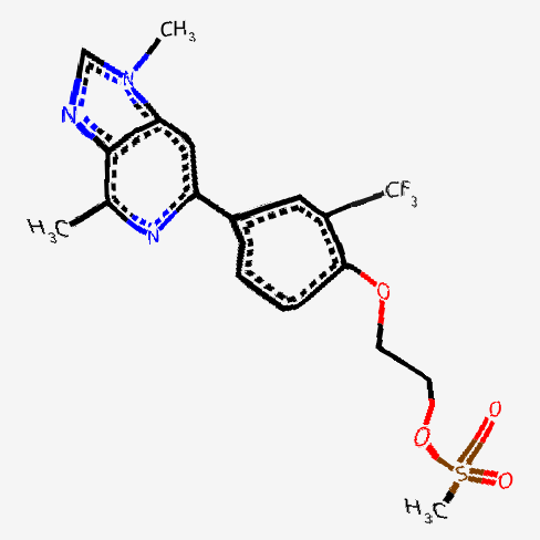 Cc1nc(-c2ccc(OCCOS(C)(=O)=O)c(C(F)(F)F)c2)cc2c1ncn2C